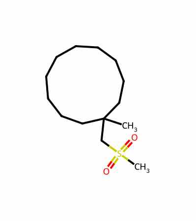 CC1(CS(C)(=O)=O)CCCCCCCCCC1